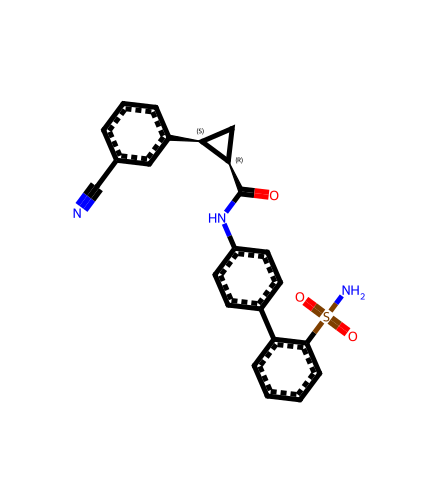 N#Cc1cccc([C@H]2C[C@H]2C(=O)Nc2ccc(-c3ccccc3S(N)(=O)=O)cc2)c1